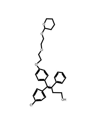 OCC/C(=C(\c1ccc(Cl)cc1)c1ccc(OCCOCCOC2CCCCO2)cc1)c1ccccc1